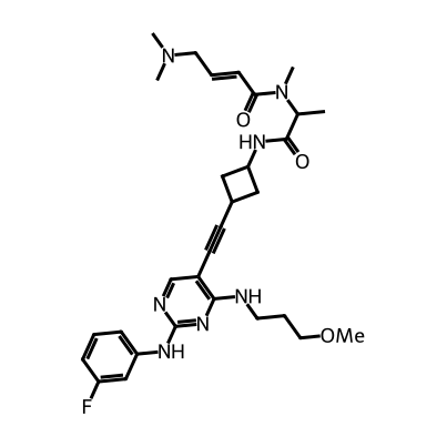 COCCCNc1nc(Nc2cccc(F)c2)ncc1C#CC1CC(NC(=O)C(C)N(C)C(=O)C=CCN(C)C)C1